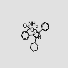 NS(=O)(=O)c1ccccc1-c1oc(-c2ccccc2)nc1C1CCCCC1